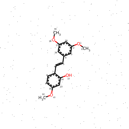 COc1cc(C=Cc2ccc(OC)cc2O)cc(OC)c1